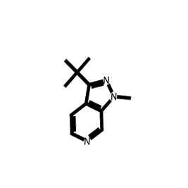 Cn1nc(C(C)(C)C)c2ccncc21